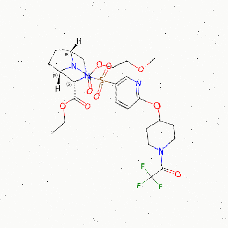 CCOC(=O)[C@@H]1[C@@H]2CC[C@H](CN1S(=O)(=O)c1ccc(OC3CCN(C(=O)C(F)(F)F)CC3)nc1)N2C(=O)OCCOC